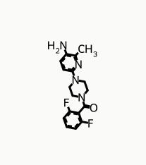 Cc1nc(N2CCN(C(=O)c3c(F)cccc3F)CC2)ccc1N